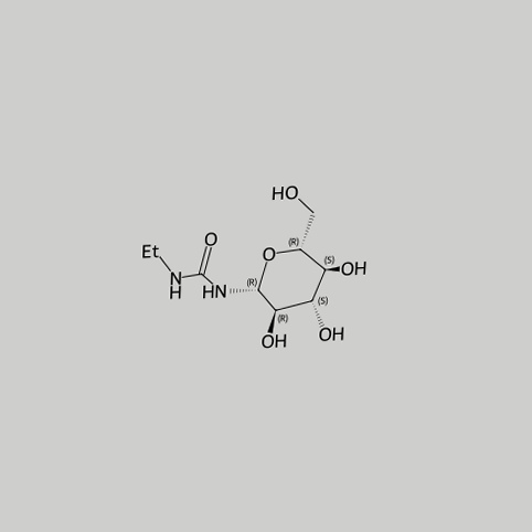 CCNC(=O)N[C@@H]1O[C@H](CO)[C@@H](O)[C@H](O)[C@H]1O